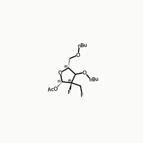 CCCCOC[C@H]1O[C@@H](OC(C)=O)[C@@](F)(CF)C1OCCCC